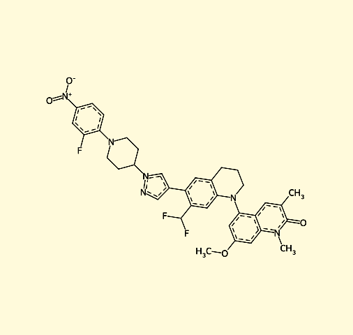 COc1cc(N2CCCc3cc(-c4cnn(C5CCN(c6ccc([N+](=O)[O-])cc6F)CC5)c4)c(C(F)F)cc32)c2cc(C)c(=O)n(C)c2c1